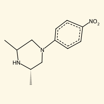 CC1CN(c2ccc([N+](=O)[O-])cc2)C[C@H](C)N1